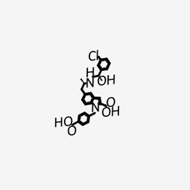 C[C@H](Cc1ccc2c(c1)cc(C(=O)O)n2Cc1ccc(C(=O)O)cc1)NC[C@H](O)c1cccc(Cl)c1